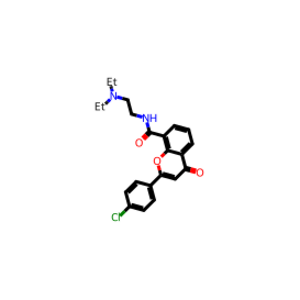 CCN(CC)CCNC(=O)c1cccc2c(=O)cc(-c3ccc(Cl)cc3)oc12